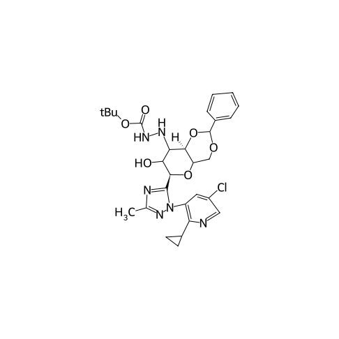 Cc1nc([C@@H]2OC3COC(c4ccccc4)O[C@@H]3C(NNC(=O)OC(C)(C)C)C2O)n(-c2cc(Cl)cnc2C2CC2)n1